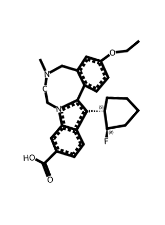 CCOc1ccc2c(c1)CN(C)CCn1c-2c([C@@H]2CCCC[C@H]2F)c2ccc(C(=O)O)cc21